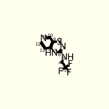 FC(F)(F)CNC1=NSc2cnccc2N1